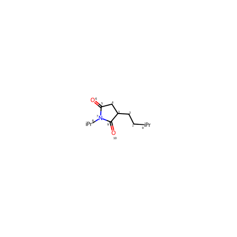 CC(C)CCC1CC(=O)N(C(C)C)C1=O